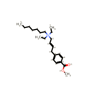 CCCCCCC[N+](CC)(CC)C/C=C/Cc1ccc(C(=O)OC)cc1